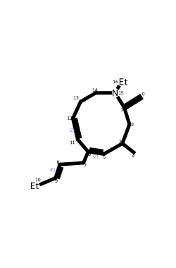 C=C1CC(C)/C=C(C/C=C/CC)\C=C/CCN1CC